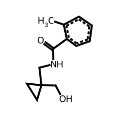 Cc1ccccc1C(=O)NCC1(CO)CC1